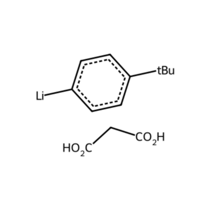 O=C(O)CC(=O)O.[Li][c]1ccc(C(C)(C)C)cc1